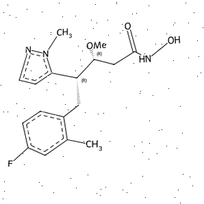 CO[C@H](CC(=O)NO)[C@H](Cc1ccc(F)cc1C)c1ccnn1C